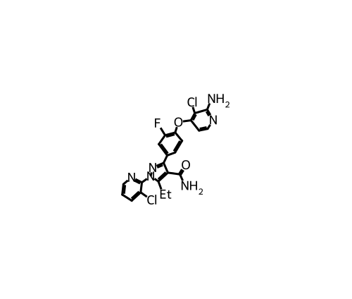 CCc1c(C(N)=O)c(-c2ccc(Oc3ccnc(N)c3Cl)c(F)c2)nn1-c1ncccc1Cl